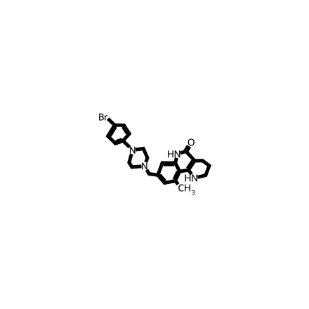 Cc1cc(CN2CCN(c3ccc(Br)cc3)CC2)cc2[nH]c(=O)c3c(c12)NCCC3